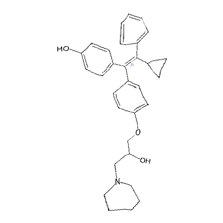 Oc1ccc(/C(=C(\c2ccccc2)C2CC2)c2ccc(OCC(O)CN3CCCCC3)cc2)cc1